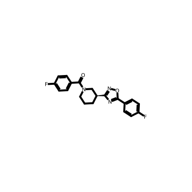 O=C(c1ccc(F)cc1)N1CCC[C@H](c2noc(-c3ccc(F)cc3)n2)C1